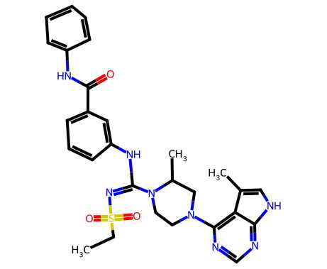 CCS(=O)(=O)N=C(Nc1cccc(C(=O)Nc2ccccc2)c1)N1CCN(c2ncnc3[nH]cc(C)c23)CC1C